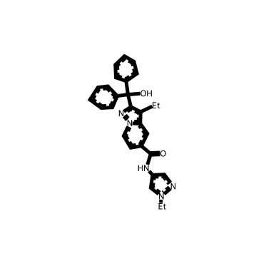 CCc1c(C(O)(c2ccccc2)c2ccccc2)nn2ccc(C(=O)Nc3cnn(CC)c3)cc12